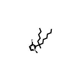 CCCCCCC(C)(CCCCC)c1c(F)ccn1C